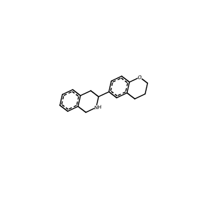 c1ccc2c(c1)CNC(c1ccc3c(c1)CCCO3)C2